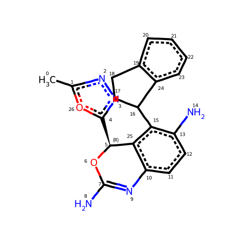 Cc1nnc([C@@H]2OC(N)=Nc3ccc(N)c(C4CCc5ccccc54)c32)o1